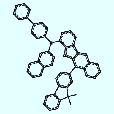 CC1(C)c2ccccc2-c2ccc(-c3c4ccccc4cc4c3oc3c(N(c5ccc(-c6ccccc6)cc5)c5ccc6ccccc6c5)cccc34)cc21